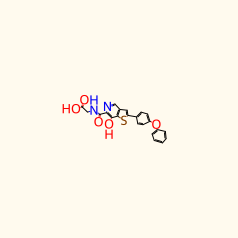 O=C(O)CNC(=O)c1ncc2cc(-c3ccc(Oc4ccccc4)cc3)sc2c1O